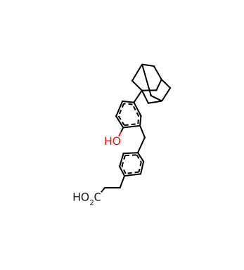 O=C(O)CCc1ccc(Cc2cc(C34CC5CC(CC(C5)C3)C4)ccc2O)cc1